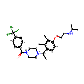 Cc1c(OCCNC(C)C)ccc(C(C)N2CCN(C(=O)c3ccc(C(F)(F)F)cc3)CC2)c1C